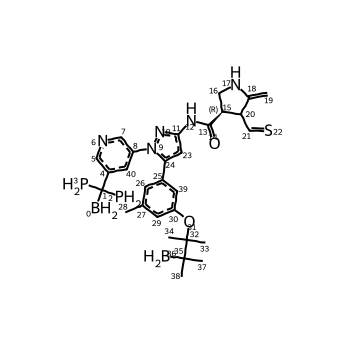 BC(P)(P)c1cncc(-n2nc(NC(=O)[C@H]3CNC(=C)C3C=S)cc2-c2cc(C)cc(OC(C)(C)C(B)(C)C)c2)c1